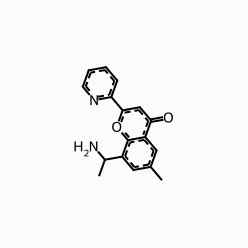 Cc1cc(C(C)N)c2oc(-c3ccccn3)cc(=O)c2c1